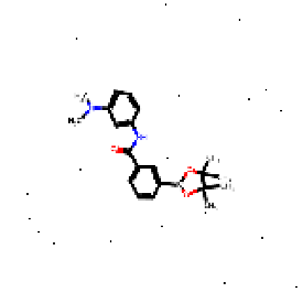 CN(C)c1cccc(NC(=O)c2cccc(B3OC(C)(C)C(C)(C)O3)c2)c1